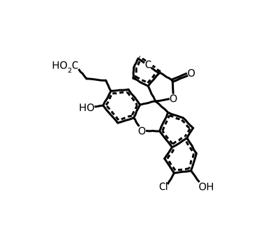 O=C(O)CCc1cc2c(cc1O)Oc1c(ccc3cc(O)c(Cl)cc13)C21OC(=O)c2ccccc21